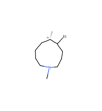 CCC1CCCN(C)CCCC[C@@H]1C